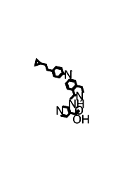 CN(c1ccc(CCC2CC2)cc1)c1ccc2c(c1)CCN(C)C2CNc1cnccc1C(=O)O